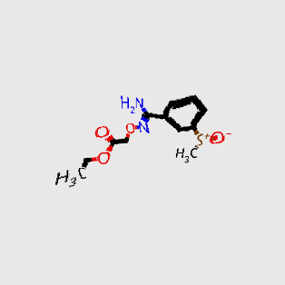 CCOC(=O)CON=C(N)c1cccc([S+](C)[O-])c1